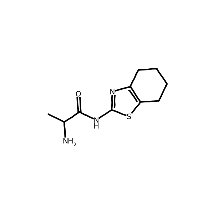 CC(N)C(=O)Nc1nc2c(s1)CCCC2